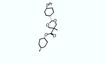 CCC[C@H]1CC[C@H](C2OCC(C)(C(=O)O[C@H]3CC[C@H](C)CC3)CO2)CC1